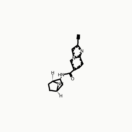 C#Cc1cn2cc(C(=O)N[C@@H]3C[C@H]4CC[C@@H]3N4)ccc2n1